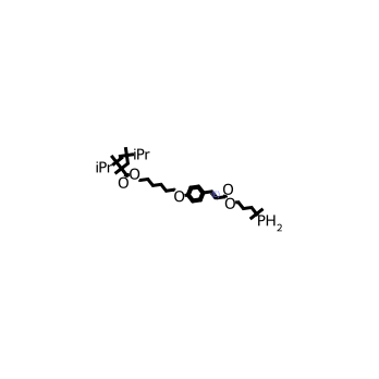 CC(C)C(C)(C)CC(C)(C(=O)OCCCCCCOc1ccc(/C=C/C(=O)OCCCC(C)(C)P)cc1)C(C)(C)C(C)C